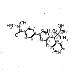 CN(C)C(=O)c1ccc(-c2ccc3c(n2)Oc2cnccc2C3C(C)(C)C(=O)O)cc1